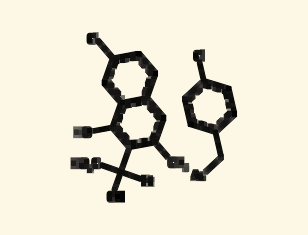 CC(=O)Cc1ccc(Cl)cc1.CCC(O)(C(=O)O)c1c(C)cc2ccc(Cl)cc2c1O